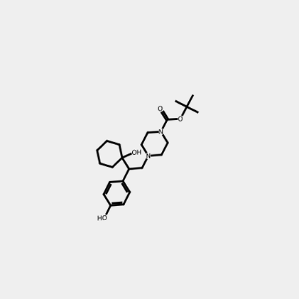 CC(C)(C)OC(=O)N1CCN(CC(c2ccc(O)cc2)C2(O)CCCCC2)CC1